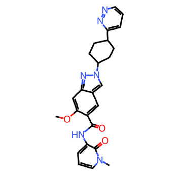 COc1cc2nn(C3CCC(c4cccnn4)CC3)cc2cc1C(=O)Nc1cccn(C)c1=O